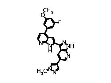 COc1cc(F)cc(-c2ccnc3[nH]c(-c4n[nH]c5ncc(-c6cnn(C)c6)cc45)cc23)c1